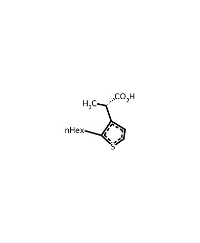 CCCCCCc1sccc1[C@H](C)C(=O)O